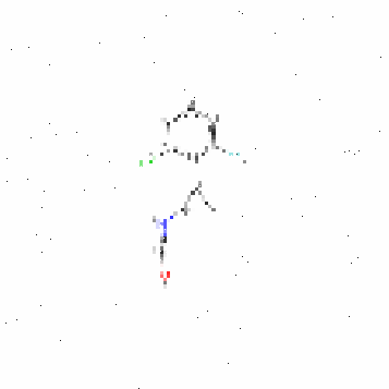 O=C=NC1CC1c1c(F)cccc1Cl